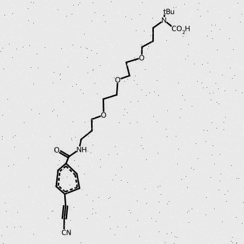 CC(C)(C)N(CCCOCCOCCOCCCNC(=O)c1ccc(C#CC#N)cc1)C(=O)O